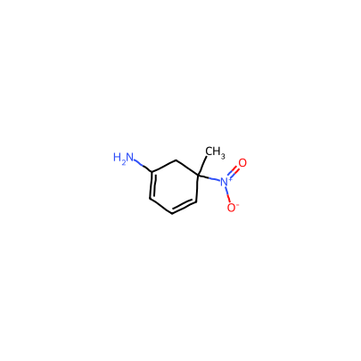 CC1([N+](=O)[O-])C=CC=C(N)C1